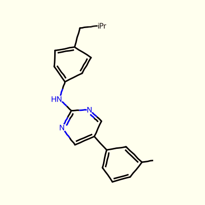 Cc1cccc(-c2cnc(Nc3ccc(CC(C)C)cc3)nc2)c1